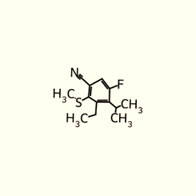 CCc1c(SC)c(C#N)cc(F)c1C(C)C